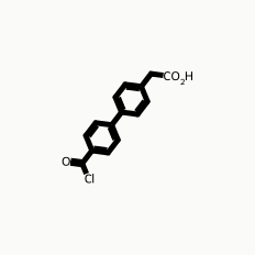 O=C(O)Cc1ccc(-c2ccc(C(=O)Cl)cc2)cc1